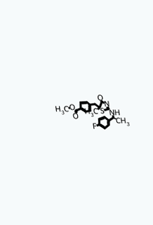 COC(=O)c1ccc(CC2(C)SC(N[C@@H](C)c3ccc(F)cc3)=NC2=O)cc1